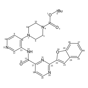 CC(C)(C)OC(=O)N1CCN(c2ccncc2NC(=O)c2ccnc(-c3cc4ccccc4o3)n2)CC1